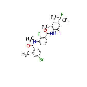 Cc1cc(Br)ccc1C(=O)N(C)c1cccc(C(=O)Nc2c(I)cc(C(F)(C(F)(F)F)C(F)(F)F)cc2C(F)(F)F)c1F